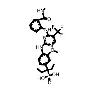 CCC(CC)(c1ccc(Nc2ncc(C(F)(F)F)c(Nc3ccccc3C(=O)NC)n2)c(OC)c1)P(=O)(O)O